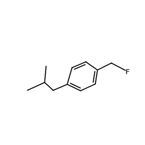 CC(C)Cc1ccc(CF)cc1